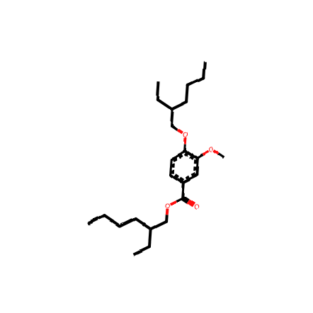 CCCCC(CC)COC(=O)c1ccc(OCC(CC)CCCC)c(OC)c1